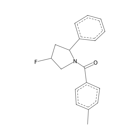 Cc1ccc(C(=O)N2CC(F)CC2c2ccccc2)cc1